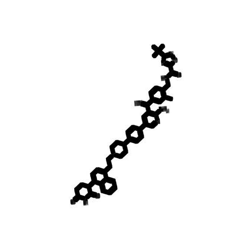 Cc1cc(C(=N)c2cc(-c3ccc(C4CCN(CCc5ccc(C6CCC(=O)NC6=O)c6ccccc56)CC4)cc3)cnc2N)ccc1CNC(=O)c1nc(C(C)(C)C)no1